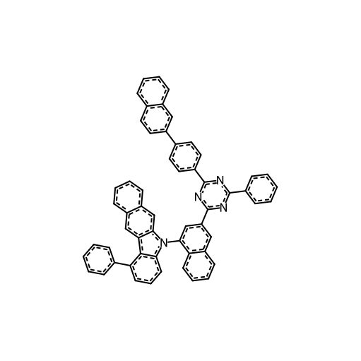 c1ccc(-c2nc(-c3ccc(-c4ccc5ccccc5c4)cc3)nc(-c3cc(-n4c5cc6ccccc6cc5c5c(-c6ccccc6)cccc54)c4ccccc4c3)n2)cc1